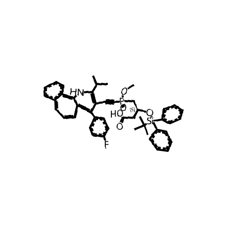 COP(=O)(C#CC1=C(C(C)C)NC2=c3ccccc3=CC=CC2=C1c1ccc(F)cc1)C[C@H](CC(=O)O)O[Si](c1ccccc1)(c1ccccc1)C(C)(C)C